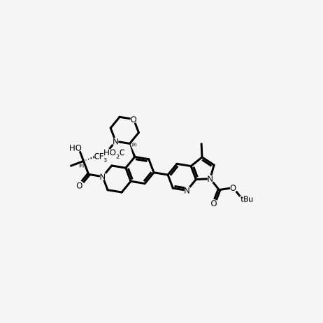 Cc1cn(C(=O)OC(C)(C)C)c2ncc(-c3cc4c(c([C@@H]5COCCN5C(=O)O)c3)CN(C(=O)[C@@](C)(O)C(F)(F)F)CC4)cc12